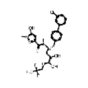 Cn1nc(C(=O)N[C@H](Cc2ccc(-c3cccc(Cl)c3)cc2)C[C@@H](O)C(O)OCC(F)(F)C(F)(F)F)cc1O